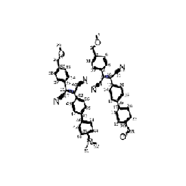 COCc1ccc(/C(C#N)=C(\C#N)c2ccc(-c3ccc(C=O)cc3)cc2)cc1.COCc1ccc(/C(C#N)=C(\C#N)c2ccc(-c3ccc(N(C)C)cc3)cc2)cc1